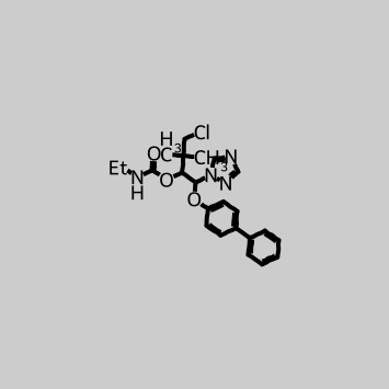 CCNC(=O)OC(C(Oc1ccc(-c2ccccc2)cc1)n1cncn1)C(C)(C)CCl